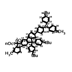 CCCCCCCCC1(CCCCCCCC)c2cc(C)ccc2-c2cc3c(cc21)-c1ccc(-c2ccc(N(c4ccc(C)cc4)c4ccc(C(C)CC)cc4)cc2)cc1C3(c1ccc(C(C)(C)C)cc1)c1ccc(C(C)(C)C)cc1